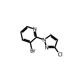 Clc1c[c]n(-c2ncccc2Br)n1